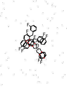 Fc1cccc(Cc2c(F)cccc2C(Cc2cccc(F)c2)(Cc2cccc(F)c2)[Si](Cc2cccc(F)c2)(Cc2cccc(F)c2)O[Si](Cc2cccc(F)c2)(Cc2cccc(F)c2)Cc2cccc(F)c2)c1